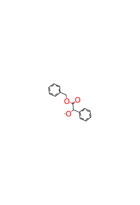 [O]C(C(=O)OCc1ccccc1)c1ccccc1